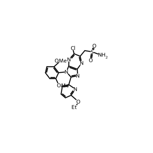 CCOc1cccc(-c2nc3nc(CS(N)(=O)=O)c(Cl)nc3n2-c2c(OC)cccc2OC)n1